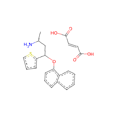 CC(N)CC(Oc1cccc2ccccc12)c1cccs1.O=C(O)C=CC(=O)O